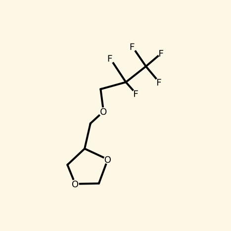 FC(F)(F)C(F)(F)COCC1COCO1